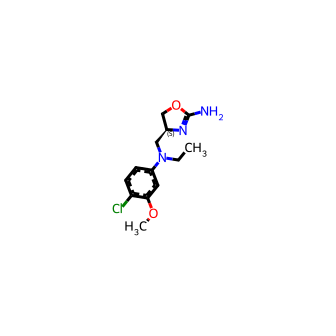 CCN(C[C@H]1COC(N)=N1)c1ccc(Cl)c(OC)c1